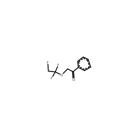 O=C(COC(F)(F)CF)c1ccccc1